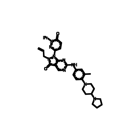 C=CCn1c(=O)c2cnc(Nc3ccc(N4CCC(N5CCCC5)CC4)c(C)c3)nc2n1-c1ccc(=O)n(C(C)C)n1